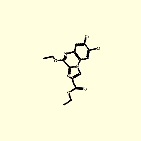 CCOC(=O)c1cn2c(n1)c(OCC)nc1cc(Cl)c(Cl)cc12